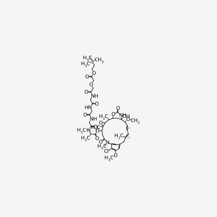 COc1cc2cc(c1Cl)N(C)C(=O)CC(OC(=O)C(C)N(C)C(=O)CNC(=O)CNC(=O)CNC(=O)COCC(=O)OCCS(C)(C)C)C1(C)OC1C(C)C1CC(O)(NC(=O)O1)C(OC)/C=C/C=C(\C)C2